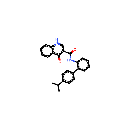 CC(C)c1ccc(-c2ccccc2NC(=O)c2c[nH]c3ccccc3c2=O)cc1